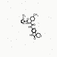 CC1CCC(C(NC(=O)c2nccn2C)C(=O)Nc2cc3c(cn2)C2(CCOCC2)C(=O)N3)CC1